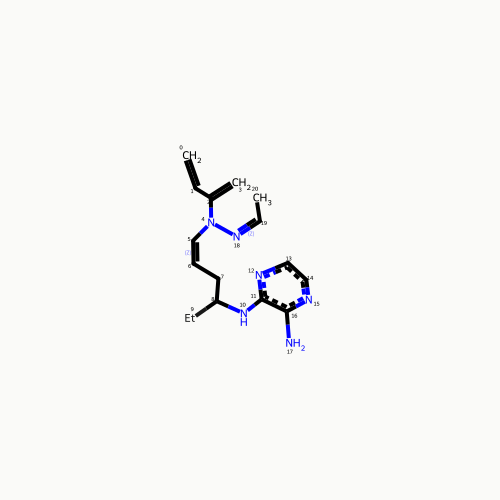 C=CC(=C)N(/C=C\CC(CC)Nc1nccnc1N)/N=C\C